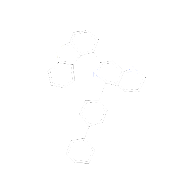 c1ccc(-c2ccc(-c3nc(-c4cccc5sc6ccccc6c45)cc4ncccc34)cc2)cc1